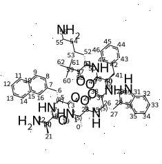 C[C@H](NC(=O)[C@@H](Cc1ccc2ccccc2c1)NC(=O)[C@@H](C)N)C(=O)N[C@@H](Cc1c[nH]c2ccccc12)C(=O)N[C@H](Cc1ccccc1)C(=O)N[C@@H](CCCCN)C(=O)C(C)(C)C